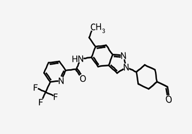 CCc1cc2nn(C3CCC(C=O)CC3)cc2cc1NC(=O)c1cccc(C(F)(F)F)n1